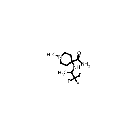 CC(NC1(C(N)=O)CCN(C)CC1)C(F)(F)F